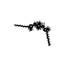 CCCCCCCCCCCCc1ccc(-c2ccc(-c3c4c(c(-c5ccc(-c6ccc(CCCCCCCCCCCC)c(C(F)(F)F)c6)s5)c5nsnc35)NSN4)s2)cc1C(F)(F)F